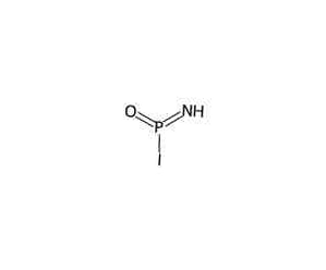 N=P(=O)I